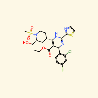 CCOC(=O)C1=C([C@H]2CCN(S(C)(=O)=O)[C@H](CO)C2)NC(c2nccs2)=NC1c1ccc(F)cc1Cl